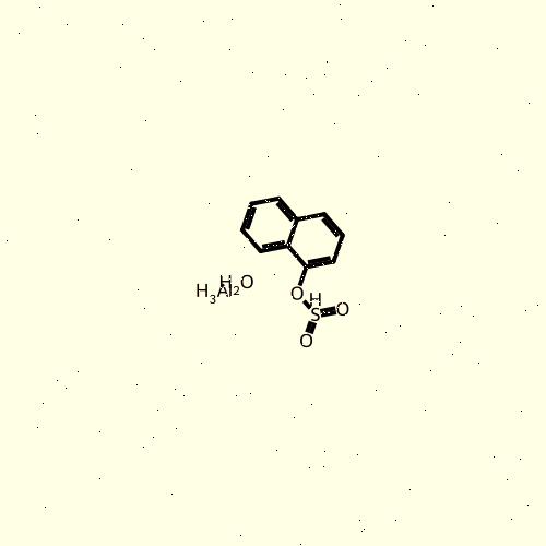 O.O=[SH](=O)Oc1cccc2ccccc12.[AlH3]